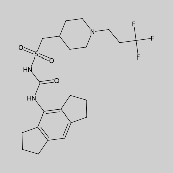 O=C(Nc1c2c(cc3c1CCC3)CCC2)NS(=O)(=O)CC1CCN(CCC(F)(F)F)CC1